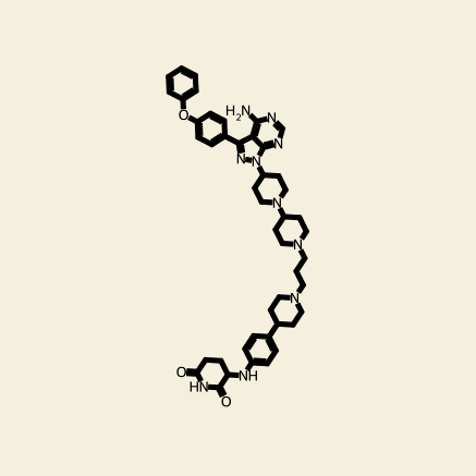 Nc1ncnc2c1c(-c1ccc(Oc3ccccc3)cc1)nn2C1CCN(C2CCN(CCCN3CCC(c4ccc(NC5CCC(=O)NC5=O)cc4)CC3)CC2)CC1